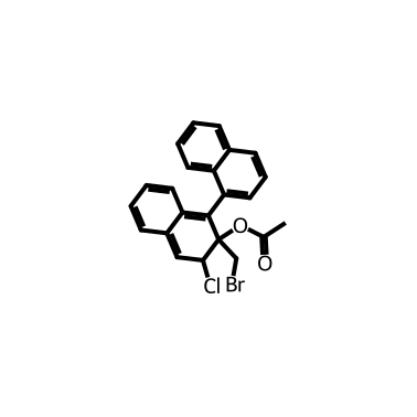 CC(=O)OC1(CBr)C(c2cccc3ccccc23)=c2ccccc2=CC1Cl